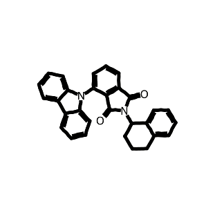 O=C1c2cccc(-n3c4ccccc4c4ccccc43)c2C(=O)N1C1CCCc2ccccc21